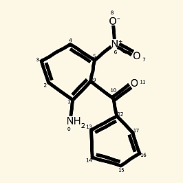 Nc1cccc([N+](=O)[O-])c1C(=O)c1ccccc1